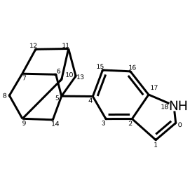 c1cc2cc(C34CC5CC(CC(C5)C3)C4)ccc2[nH]1